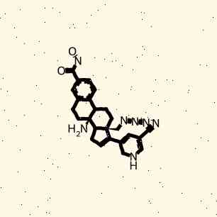 N#CC1=CNCC(C2=CCC3[C@]2(CN=[N+]=[N-])CCC2c4ccc(C(=O)N=O)cc4CC[C@]23N)=C1